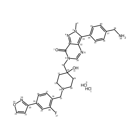 Cl.Cl.Cn1nc2c(=O)n(CC3(O)CCN(Cc4ccc(-c5ccon5)cc4F)CC3)cnc2c1-c1ccc(CN)cc1